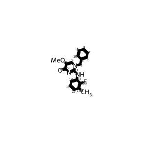 COc1cn(Cc2ccccc2)c(Nc2cccc(C)c2F)nc1=O